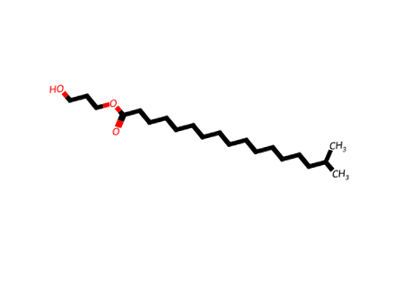 CC(C)CCCCCCCCCCCCCCC(=O)OCCCO